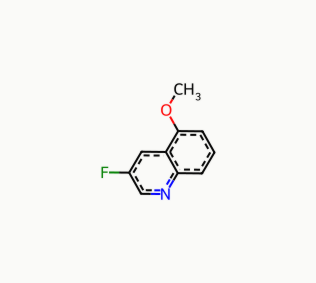 COc1cccc2ncc(F)cc12